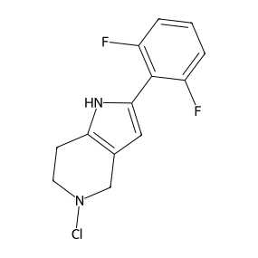 Fc1cccc(F)c1-c1cc2c([nH]1)CCN(Cl)C2